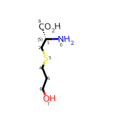 N[C@H](CSCCCO)C(=O)O